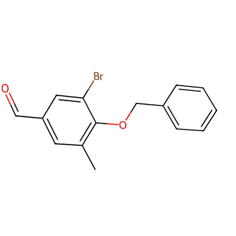 Cc1cc(C=O)cc(Br)c1OCc1ccccc1